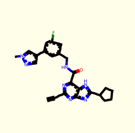 C#Cc1nc(C(=O)NCc2cc(F)cc(-c3cnn(C)c3)c2)c2[nH]c(C3CCCC3)nc2n1